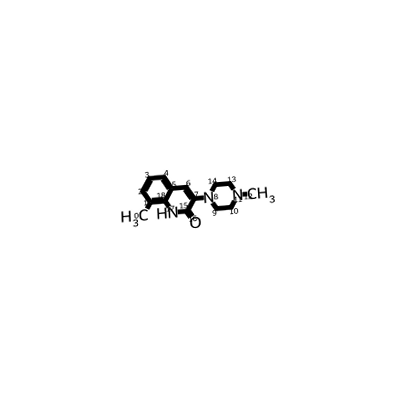 Cc1cccc2cc(N3CCN(C)CC3)c(=O)[nH]c12